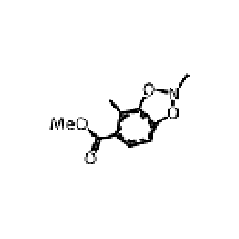 COC(=O)c1ccc2c(c1C)ON(C)O2